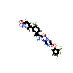 O=C(Nc1cnc(Oc2ccc(F)cc2F)cn1)C1CC12CCC(F)(F)C(c1ccc(=O)[nH]c1)C2